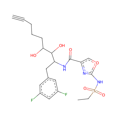 C#CCCCC(O)C(O)C(Cc1cc(F)cc(F)c1)NC(=O)c1coc(NS(=O)(=O)CC)n1